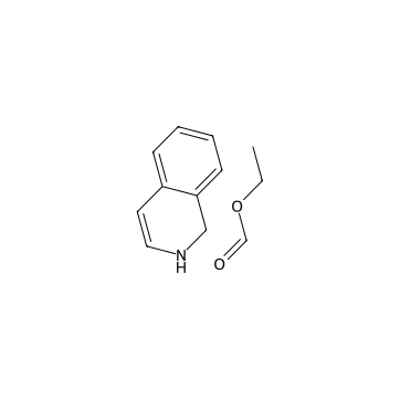 C1=Cc2ccccc2CN1.CCOC=O